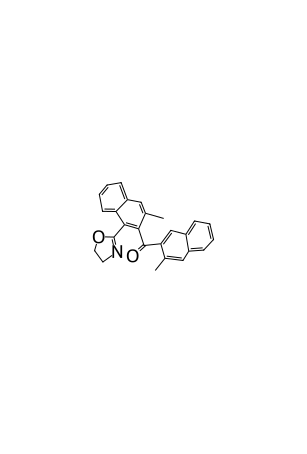 Cc1cc2ccccc2cc1C(=O)c1c(C)cc2ccccc2c1C1=NCCO1